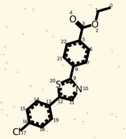 CCOC(=O)c1ccc(-c2ncc(-c3ccc(Cl)cc3)s2)cc1